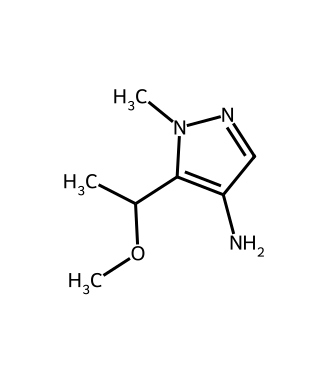 COC(C)c1c(N)cnn1C